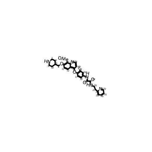 COc1c(OCC2CCNCC2)ccc2c(Oc3ccc(NC(=O)C(=O)NCCc4ccccn4)cc3F)ccnc12